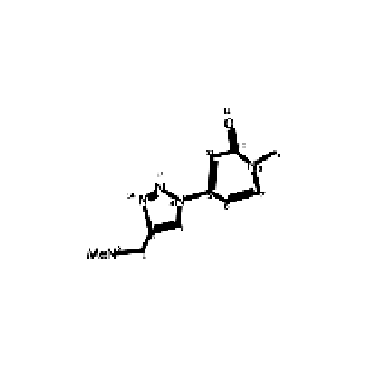 CNCc1cn(-c2ccn(C)c(=O)c2)nn1